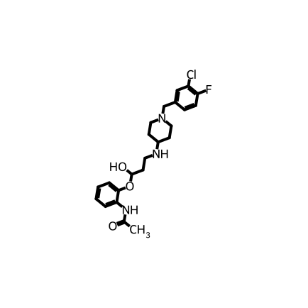 CC(=O)Nc1ccccc1OC(O)CCNC1CCN(Cc2ccc(F)c(Cl)c2)CC1